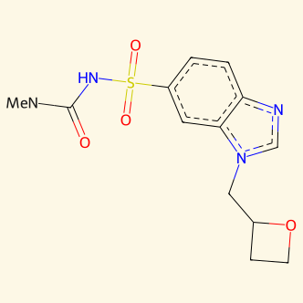 CNC(=O)NS(=O)(=O)c1ccc2ncn(CC3CCO3)c2c1